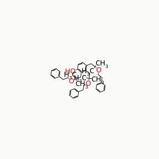 CC(C)(Cc1ccc(O)c(CC(C)(C)OCCc2ccccc2)c1CC(C)(C)OCCc1ccccc1)OCCc1ccccc1